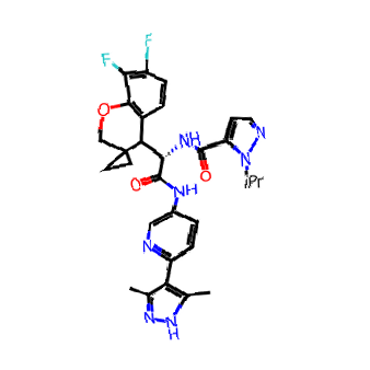 Cc1n[nH]c(C)c1-c1ccc(NC(=O)[C@@H](NC(=O)c2ccnn2C(C)C)C2c3ccc(F)c(F)c3OCC23CC3)cn1